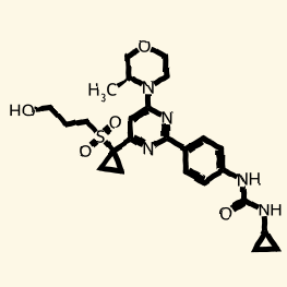 C[C@H]1COCCN1c1cc(C2(S(=O)(=O)CCCO)CC2)nc(-c2ccc(NC(=O)NC3CC3)cc2)n1